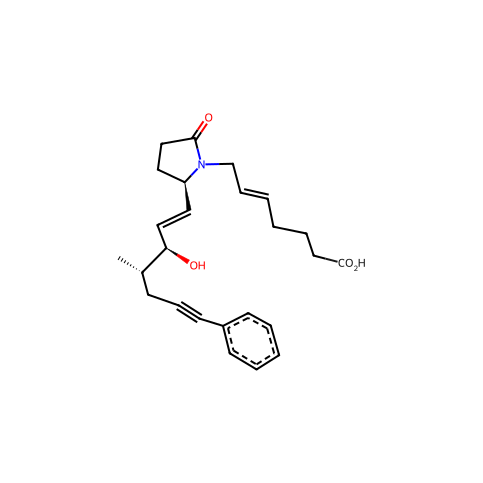 C[C@@H](CC#Cc1ccccc1)[C@H](O)C=C[C@H]1CCC(=O)N1CC=CCCCC(=O)O